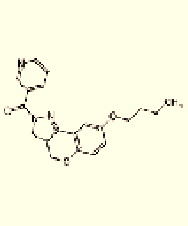 CCCCOc1ccc2c(c1)C1=NN(C(=O)c3cccnc3)CC1CO2